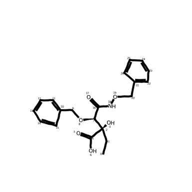 CC[C@](O)(C(=O)O)[C@@H](OCc1ccccc1)C(=O)NOCc1ccccc1